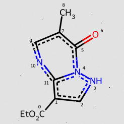 CCOC(=O)c1c[nH]n2c(=O)c(C)cnc12